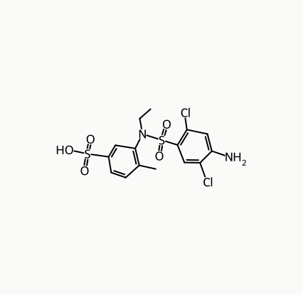 CCN(c1cc(S(=O)(=O)O)ccc1C)S(=O)(=O)c1cc(Cl)c(N)cc1Cl